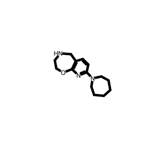 c1cc2c(nc1N1CCCCCC1)OCCNC2